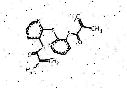 C=C(C)C(=O)Sc1cccnc1Sc1ncccc1SC(=O)C(=C)C